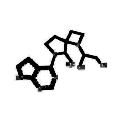 CC1N(c2ncnc3[nH]ccc23)CCC12CCN2C(O)CC#N